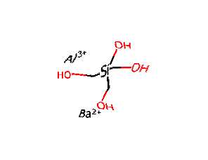 O[Si](O)(O)O.[Al+3].[Ba+2]